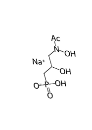 CC(=O)N(O)CC(O)CP(=O)([O-])O.[Na+]